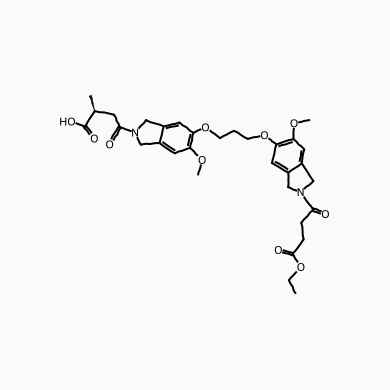 CCOC(=O)CCC(=O)N1Cc2cc(OC)c(OCCCOc3cc4c(cc3OC)CN(C(=O)C[C@H](C)C(=O)O)C4)cc2C1